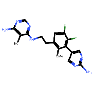 COc1c(CCNc2ncnc(N)c2C#N)cc(Cl)c(Cl)c1-c1cnc(N)nc1